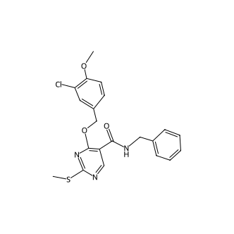 COc1ccc(COc2nc(SC)ncc2C(=O)NCc2ccccc2)cc1Cl